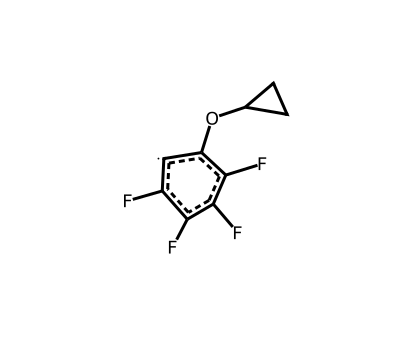 Fc1[c]c(OC2CC2)c(F)c(F)c1F